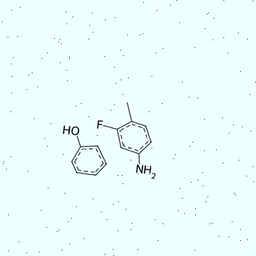 Cc1ccc(N)cc1F.Oc1ccccc1